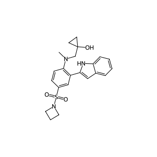 CN(CC1(O)CC1)c1ccc(S(=O)(=O)N2CCC2)cc1-c1cc2ccccc2[nH]1